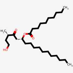 [CH2][C@@H](CCO)C(=O)C[C@@H](CCCCCCCCCCC)OC(=O)CCCCCCCCC